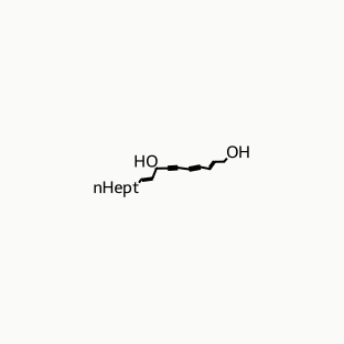 CCCCCCCC=CC(O)C#CC#CC=CCO